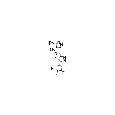 CC(C)c1c(C(=O)N2CCc3c(nn(C)c3-c3cc(F)c(F)c(F)c3)C2)cnn1C